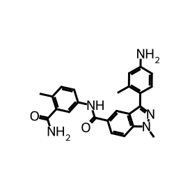 Cc1ccc(NC(=O)c2ccc3c(c2)c(-c2ccc(N)cc2C)nn3C)cc1C(N)=O